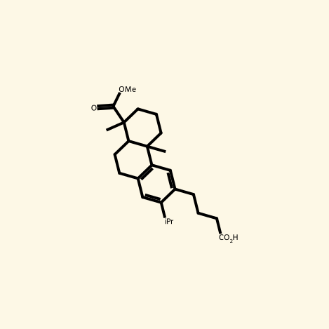 COC(=O)C1(C)CCCC2(C)c3cc(CCCC(=O)O)c(C(C)C)cc3CCC12